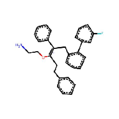 NCCO/C(CCc1ccccc1)=C(/Cc1ccccc1-c1cccc(F)c1)c1ccccc1